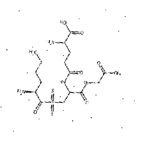 CSCC[C@H](N)C(=O)S(=S)(=S)CC(NC(=O)CCC(N)C(=O)O)C(=O)NCC(=O)O